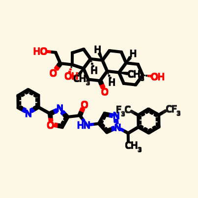 CC(c1ccc(C(F)(F)F)cc1C(F)(F)F)n1cc(NC(=O)c2coc(-c3ccccn3)n2)cn1.C[C@]12CC[C@@H](O)C[C@H]1CC[C@@H]1[C@@H]2C(=O)C[C@@]2(C)[C@H]1CC[C@]2(O)C(=O)CO